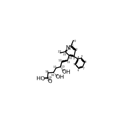 Cc1cc(-c2ccccc2)c(/C=C/[C@H](O)C[C@H](O)CC(=O)O)c(C)n1